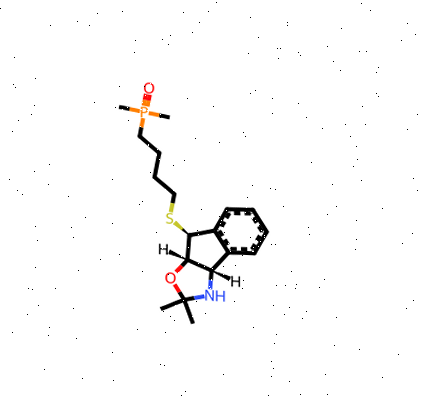 CC1(C)N[C@H]2c3ccccc3[C@H](SCCCCP(C)(C)=O)[C@H]2O1